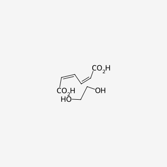 O=C(O)/C=C\C=C/C(=O)O.OCCO